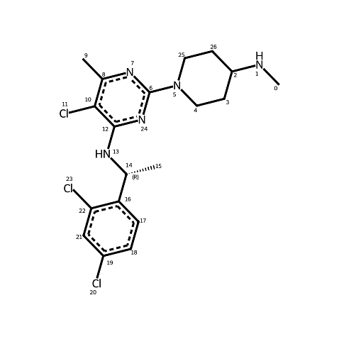 CNC1CCN(c2nc(C)c(Cl)c(N[C@H](C)c3ccc(Cl)cc3Cl)n2)CC1